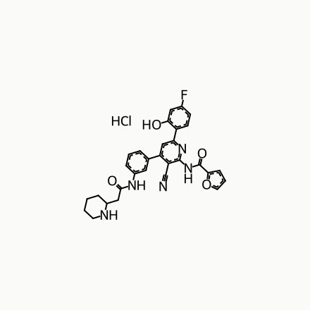 Cl.N#Cc1c(-c2cccc(NC(=O)CC3CCCCN3)c2)cc(-c2ccc(F)cc2O)nc1NC(=O)c1ccco1